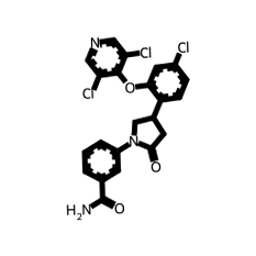 NC(=O)c1cccc(N2CC(c3ccc(Cl)cc3Oc3c(Cl)cncc3Cl)CC2=O)c1